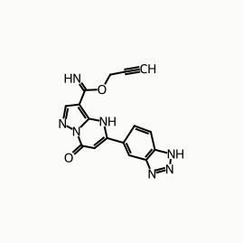 C#CCOC(=N)c1cnn2c(=O)cc(-c3ccc4[nH]nnc4c3)[nH]c12